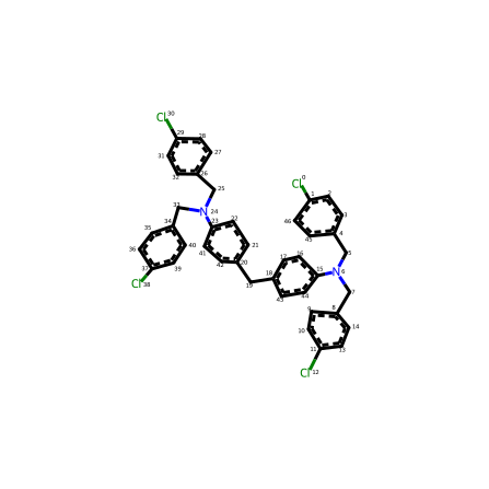 Clc1ccc(CN(Cc2ccc(Cl)cc2)c2ccc(Cc3ccc(N(Cc4ccc(Cl)cc4)Cc4ccc(Cl)cc4)cc3)cc2)cc1